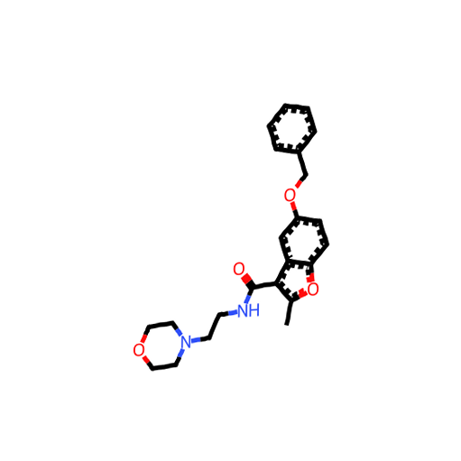 Cc1oc2ccc(OCc3ccccc3)cc2c1C(=O)NCCN1CCOCC1